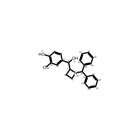 Oc1ccc(C(O)C2CCN2C(c2ccccc2)c2ccccc2)cc1Cl